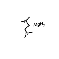 CN(C)CCN(C)C.[MgH2]